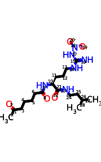 CC(=O)CCCCC(=O)N[C@@H](CCCNC(=N)N[N+](=O)[O-])C(=O)N[CH]CC(C)C